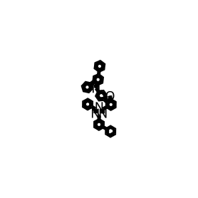 C1=CCCC(c2cccc(-c3nc(-c4ccccc4)nc(-c4cccc5oc6cc(-n7c8ccccc8c8cc(-c9ccccc9)ccc87)ccc6c45)n3)c2)=C1